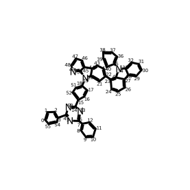 c1ccc(-c2nc(-c3ccccc3)nc(-c3ccc(-n4c5cc(-c6cccc7c8ccccc8n(-c8ccccc8)c67)ccc5c5cccnc54)cc3)n2)cc1